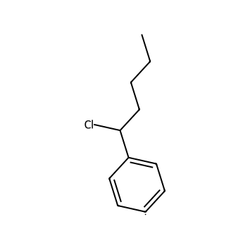 CCCCC(Cl)c1cc[c]cc1